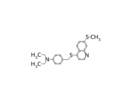 CCN(CC)c1ccc(CSc2ccnc3cc(SC)ccc23)cc1